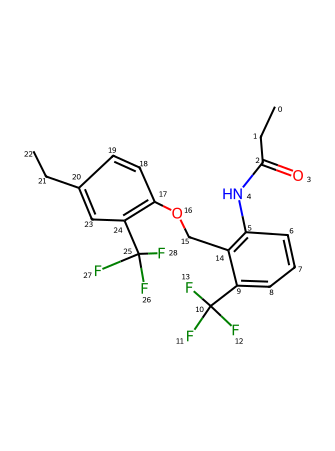 CCC(=O)Nc1cccc(C(F)(F)F)c1COc1ccc(CC)cc1C(F)(F)F